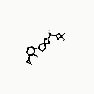 CC1(O)CC(C(=O)N2CC3(CC[C@@H](c4cccc(C5CC5)c4F)C3)C2)C1